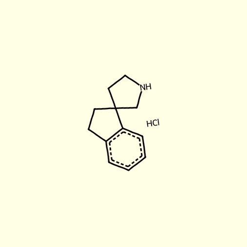 Cl.c1ccc2c(c1)CCC21CCNC1